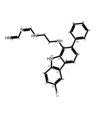 N=C/N=C\NCCNc1c(-c2ccccc2)ccc2c1[nH]c1ccc(F)cc12